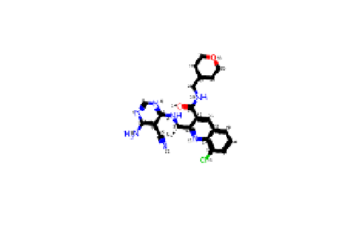 C[C@H](Nc1ncnc(N)c1C#N)c1nc2c(Cl)cccc2cc1C(=O)NCC1CCOCC1